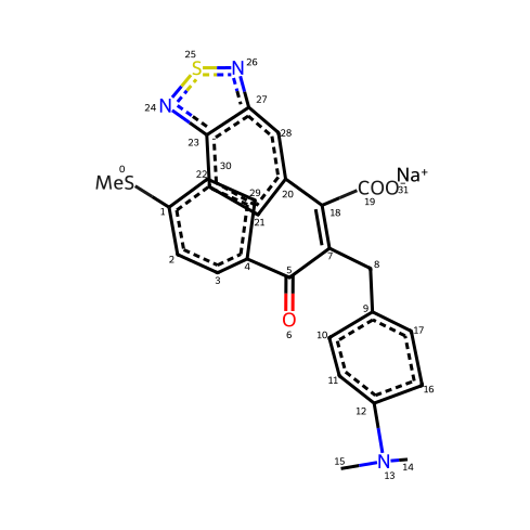 CSc1ccc(C(=O)/C(Cc2ccc(N(C)C)cc2)=C(/C(=O)[O-])c2ccc3nsnc3c2)cc1.[Na+]